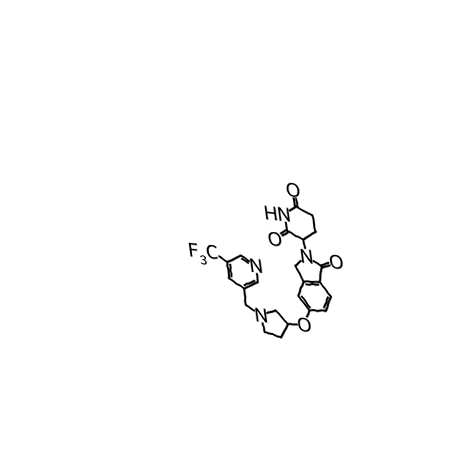 O=C1CCC(N2Cc3cc(OC4CCN(Cc5cncc(C(F)(F)F)c5)C4)ccc3C2=O)C(=O)N1